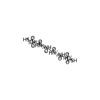 O=C(CCC(=O)NCCNC(=O)CCN1C(=O)CC(S)C1=O)NCCNC(=O)CCN1C(=O)CC(S)C1=O